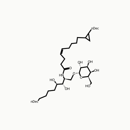 CCCCCCCCCCCCCC[C@@H](O)[C@@H](O)[C@H](CO[C@H]1O[C@H](CO)[C@H](O)[C@H](O)[C@H]1O)NC(=O)CC/C=C\CCCCC1CC1CCCCCCCCCC